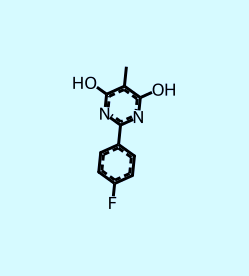 Cc1c(O)nc(-c2ccc(F)cc2)nc1O